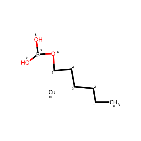 CCCCCCOB(O)O.[Cu]